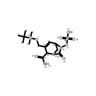 CC(C)(C)[Si](C)(C)OCC1=CC2CN(C(=O)N2OS(=O)(=O)O)C1C(N)=O